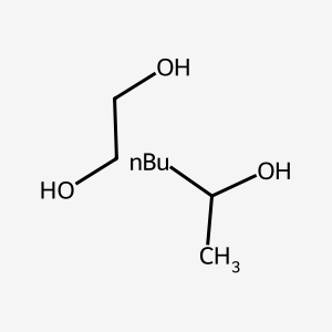 CCCCC(C)O.OCCO